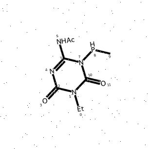 CCn1c(=O)nc(NC(C)=O)n(PC)c1=O